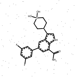 NC(=O)c1cc(-c2cc(F)cc(F)c2)cc2c(C3CCS(O)(O)CC3)c[nH]c12